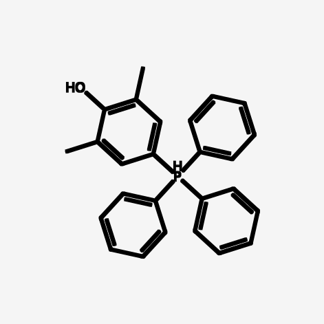 Cc1cc([PH](c2ccccc2)(c2ccccc2)c2ccccc2)cc(C)c1O